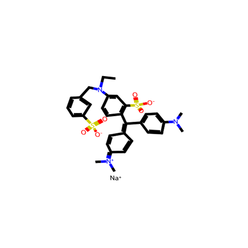 CCN(Cc1cccc(S(=O)(=O)[O-])c1)c1ccc(C(=C2C=CC(=[N+](C)C)C=C2)c2ccc(N(C)C)cc2)c(S(=O)(=O)[O-])c1.[Na+]